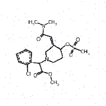 COC(=O)C(c1ccccc1Cl)N1CCC(OS(C)(=O)=O)/C(=C/C(=O)N(C)C)C1